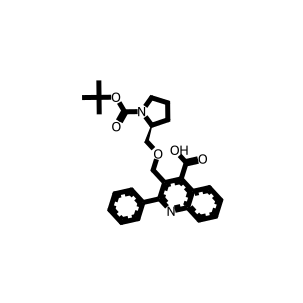 CC(C)(C)OC(=O)N1CCC[C@H]1COCc1c(-c2ccccc2)nc2ccccc2c1C(=O)O